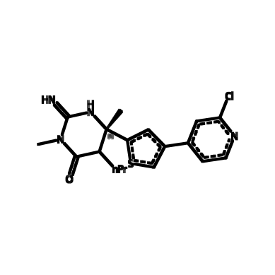 CCCC1C(=O)N(C)C(=N)N[C@]1(C)c1cc(-c2ccnc(Cl)c2)cs1